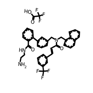 NCCNC(=O)c1ccccc1-c1cccc(CN(Cc2cccc3ccccc23)C(=O)C=Cc2cccc(C(F)(F)F)c2)c1.O=C(O)C(F)(F)F